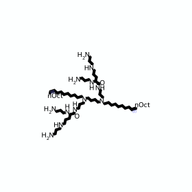 CCCCCCCC/C=C\CCCCCCCCN(CCCCN(CCCCCCCC/C=C\CCCCCCCC)CCCNC(=O)C(CCCNCCCN)NCCCN)CCCNC(=O)C(CCCNCCCN)NCCCN